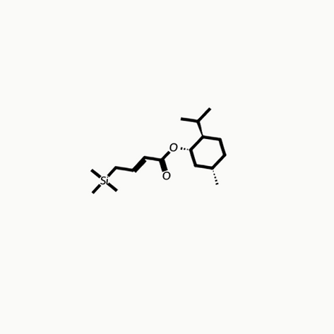 CC(C)[C@H]1CC[C@H](C)C[C@@H]1OC(=O)C=CC[Si](C)(C)C